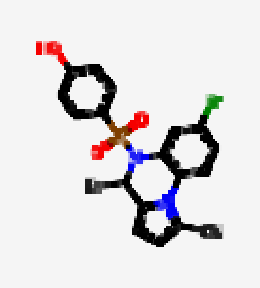 CCC1c2ccc(C#N)n2-c2ccc(Br)cc2N1S(=O)(=O)c1ccc(O)cc1